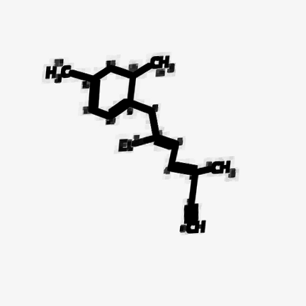 C#C/C(C)=C/C=C(\CC)CC1=CC=C(C)CC1C